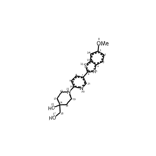 COc1ccc2nc(-c3ccc(N4CCC(O)(CO)CC4)nc3)sc2c1